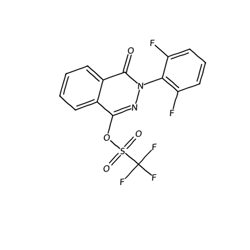 O=c1c2ccccc2c(OS(=O)(=O)C(F)(F)F)nn1-c1c(F)cccc1F